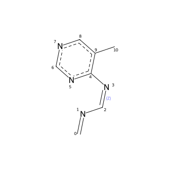 C=N/C=N\c1ncncc1C